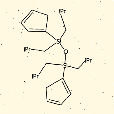 CC(C)C[Si](CC(C)C)(O[Si](CC(C)C)(CC(C)C)C1=CC=CC1)C1=CC=CC1